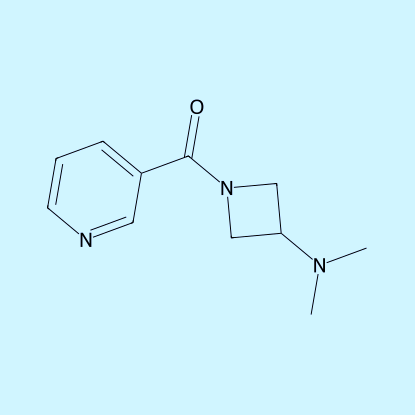 CN(C)C1CN(C(=O)c2cccnc2)C1